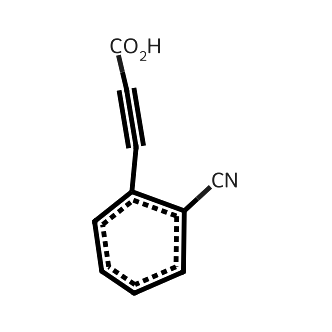 N#Cc1ccccc1C#CC(=O)O